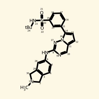 CN1Cc2ccc(Nc3ncc4ccc(-c5cccc(S(=O)(=O)NC(C)(C)C)c5)n4n3)cc2C1